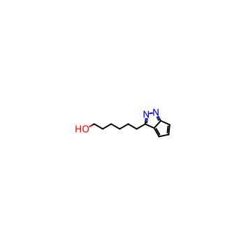 OCCCCCCC1=NN=C2C=CC=C21